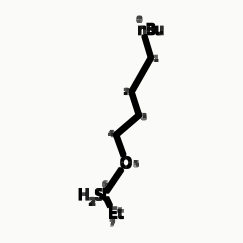 CCCCCCCCO[SiH2]CC